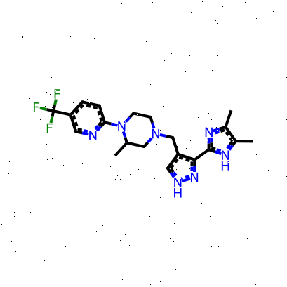 Cc1nc(-c2n[nH]cc2CN2CCN(c3ccc(C(F)(F)F)cn3)C(C)C2)[nH]c1C